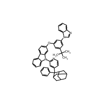 CC(C)(C)c1cc(Oc2ccc3c4ccccc4n(-c4cc(C5(c6ccccc6)C6CC7CC(C6)CC5C7)ccn4)c3c2)cc(-n2cnc3ccccc32)c1